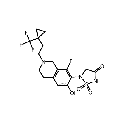 O=C1CN(c2c(O)cc3c(c2F)CN(CCC2(C(F)(F)F)CC2)CC3)S(=O)(=O)N1